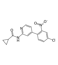 O=C(Nc1cc(-c2ccc(Cl)cc2[N+](=O)[O-])ccn1)C1CC1